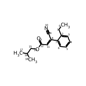 CCc1ccccc1C(C#N)=CC(=O)OCC(C)C